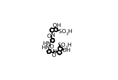 O=C(Nc1cccc(C(=O)N=C2C=CCC3=C(O)C=C(S(=O)(=O)O)CC23)c1)Nc1cccc(C(=O)N=C2C=CCC3=C(O)C=C(S(=O)(=O)O)CC23)c1